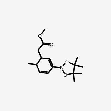 COC(=O)CC1C=C(B2OC(C)(C)C(C)(C)O2)C=CC1C